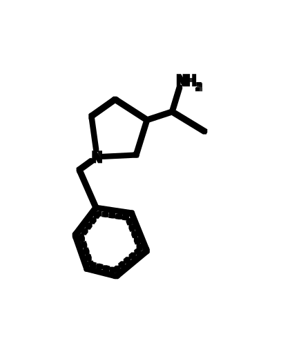 CC(N)C1CCN(Cc2ccccc2)C1